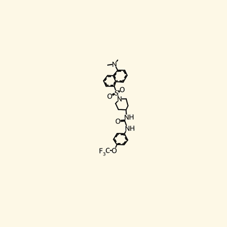 CN(C)c1cccc2c(S(=O)(=O)N3CCC(NC(=O)Nc4ccc(OC(F)(F)F)cc4)CC3)cccc12